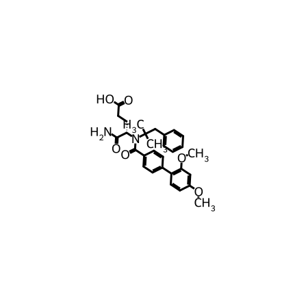 COc1ccc(-c2ccc(C(=O)N([C@@H](CCC(=O)O)C(N)=O)C(C)(C)Cc3ccccc3)cc2)c(OC)c1